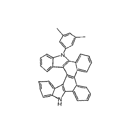 Cc1cc(C)cc(-n2c3ccccc3c3c4c(c5ccccc5c5[nH]c6ccccc6c54)c4ccccc4c32)c1